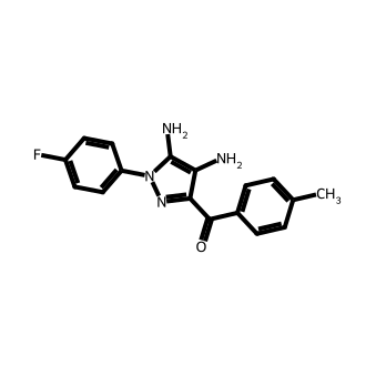 Cc1ccc(C(=O)c2nn(-c3ccc(F)cc3)c(N)c2N)cc1